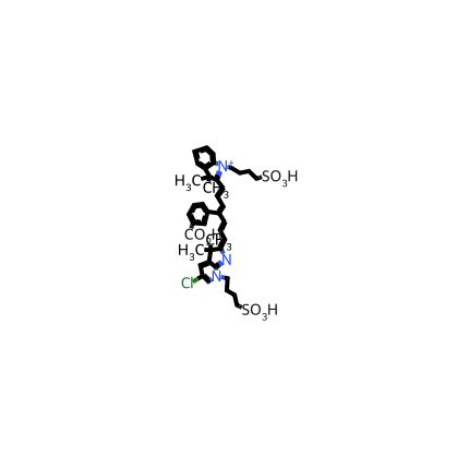 CC1(C)C2=CC(Cl)=CN(CCCCS(=O)(=O)O)C2=N/C1=C/C=C/C(=C/C=C/C1=[N+](CCCCS(=O)(=O)O)c2ccccc2C1(C)C)c1cccc(C(=O)O)c1